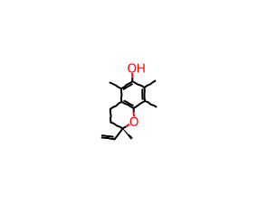 C=C[C@]1(C)CCc2c(C)c(O)c(C)c(C)c2O1